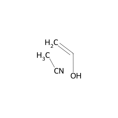 C=CO.CC#N